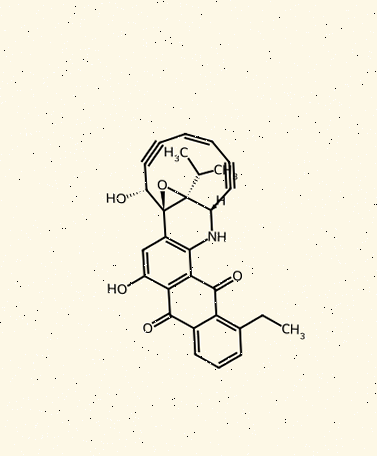 CCc1cccc2c1C(=O)c1c3c(cc(O)c1C2=O)[C@@]12O[C@@]1(C(C)C)[C@H](C#C/C=C\C#C[C@H]2O)N3